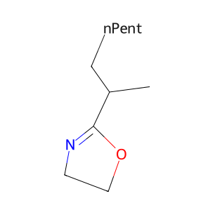 CCCCCCC(C)C1=NCCO1